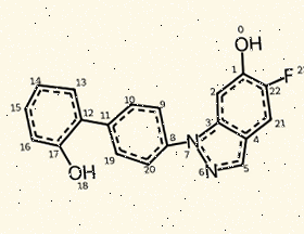 Oc1cc2c(cnn2-c2ccc(-c3ccccc3O)cc2)cc1F